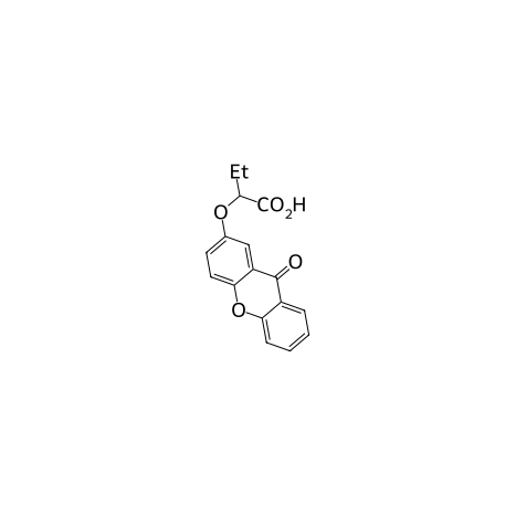 CCC(Oc1ccc2oc3ccccc3c(=O)c2c1)C(=O)O